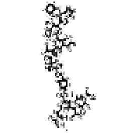 CC[C@H](C)[C@@H]([C@@H](CC(=O)N1CCC[C@H]1[C@H](OC)[C@@H](C)C(=O)N[C@@H](Cc1ccccc1)c1nccs1)OC)N(C)C(=O)[C@@H](NC(=O)C(C)(C)NC(=O)OCc1ccc(NC(=O)[C@H](CCCNC(N)=O)NC(=O)[C@@H](NC(=O)[C@H](C)NC(C)=O)C(C)C)cc1)C(C)C